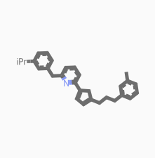 Cc1cccc(CCCC2=CC=C(c3cccc(Cc4cccc(C(C)C)c4)n3)C2)c1